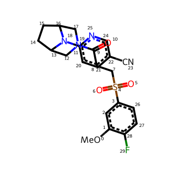 COc1cc(S(=O)(=O)CCC(=O)N2CC3CCC(C2)N3c2ccc(C#N)cn2)ccc1F